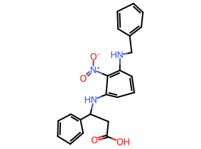 O=C(O)CC(Nc1cccc(NCc2ccccc2)c1[N+](=O)[O-])c1ccccc1